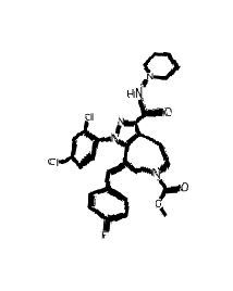 COC(=O)N1CCc2c(C(=O)NN3CCCCC3)nn(-c3ccc(Cl)cc3Cl)c2/C(=C/c2ccc(F)cc2)C1